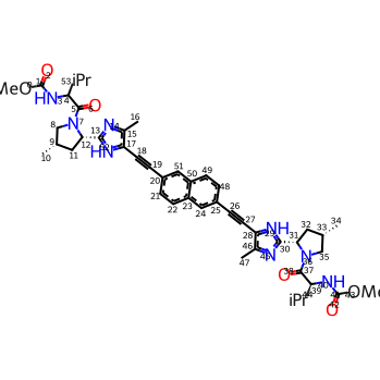 COC(=O)NC(C(=O)N1C[C@@H](C)C[C@H]1c1nc(C)c(C#Cc2ccc3cc(C#Cc4[nH]c([C@@H]5C[C@H](C)CN5C(=O)[C@@H](NC(=O)OC)C(C)C)nc4C)ccc3c2)[nH]1)C(C)C